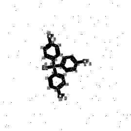 CCS(c1ccc(C(F)(F)F)cc1)(c1ccc(C(F)(F)F)cc1)c1ccc(C(F)(F)F)cc1